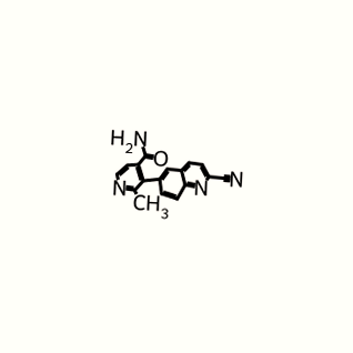 Cc1nccc(C(N)=O)c1-c1ccc2nc(C#N)ccc2c1